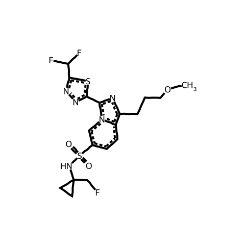 COCCCc1nc(-c2nnc(C(F)F)s2)n2cc(S(=O)(=O)NC3(CF)CC3)ccc12